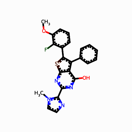 COc1cccc(-c2sc3nc(-c4nccn4C)nc(O)c3c2-c2ccccc2)c1F